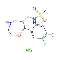 CS(=O)(=O)NCC1CNCCOC1c1ccc(Cl)c(F)c1.Cl